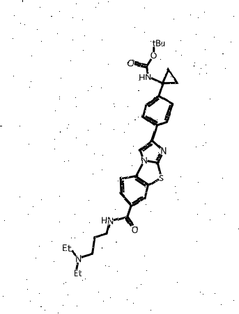 CCN(CC)CCCNC(=O)c1ccc2c(c1)sc1nc(-c3ccc(C4(NC(=O)OC(C)(C)C)CC4)cc3)cn12